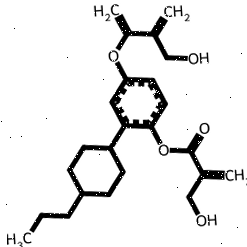 C=C(CO)C(=C)Oc1ccc(OC(=O)C(=C)CO)c(C2CCC(CCC)CC2)c1